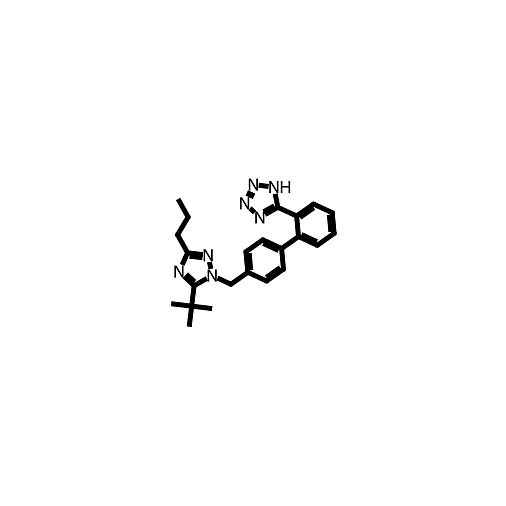 CCCc1nc(C(C)(C)C)n(Cc2ccc(-c3ccccc3-c3nnn[nH]3)cc2)n1